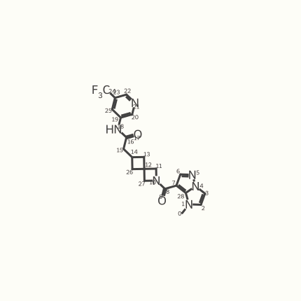 Cn1ccn2ncc(C(=O)N3CC4(CC(CC(=O)Nc5cncc(C(F)(F)F)c5)C4)C3)c12